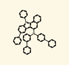 c1ccc(-c2ccc(N(c3cccc(-c4ccccc4)c3)c3cc4ccccc4c4c3c3cc(-c5ccccc5)ccc3n4-c3ccccc3)cc2)cc1